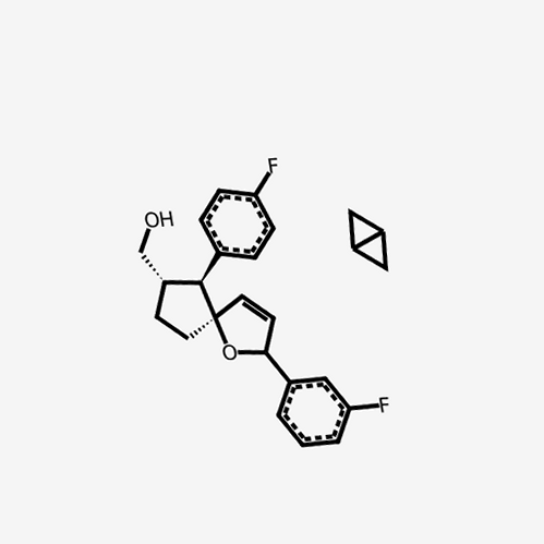 C1C2CC12.OC[C@H]1CC[C@@]2(C=CC(c3cccc(F)c3)O2)[C@@H]1c1ccc(F)cc1